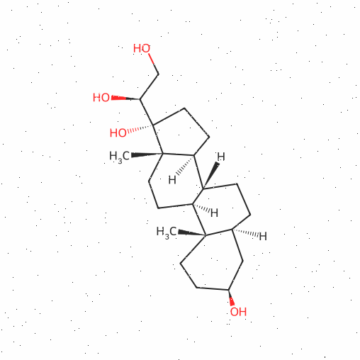 C[C@]12CC[C@H](O)C[C@@H]1CC[C@@H]1[C@@H]2CC[C@@]2(C)[C@H]1CC[C@]2(O)[C@@H](O)CO